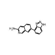 Nc1cc2ccc(-c3cccc4[nH]nnc34)cc2cn1